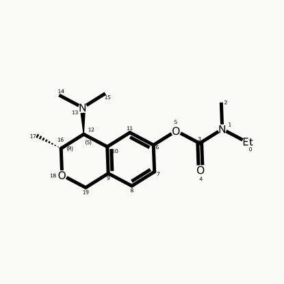 CCN(C)C(=O)Oc1ccc2c(c1)[C@H](N(C)C)[C@@H](C)OC2